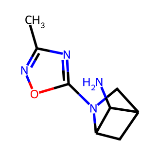 Cc1noc(N2CC3CC2C3N)n1